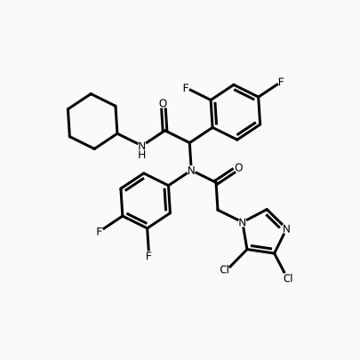 O=C(NC1CCCCC1)C(c1ccc(F)cc1F)N(C(=O)Cn1cnc(Cl)c1Cl)c1ccc(F)c(F)c1